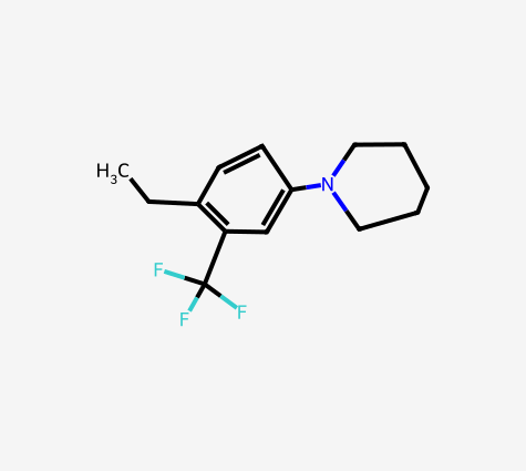 CCc1ccc(N2CCCCC2)cc1C(F)(F)F